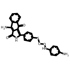 NC1=C2C(=O)NC(c3ccc(SOONc4ccc(N)cc4)cc3)=C2C(=O)c2ccccc21